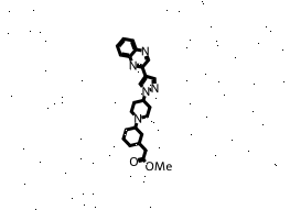 COC(=O)CC1CCCC(N2CCC(n3cc(-c4cnc5ccccc5n4)cn3)CC2)C1